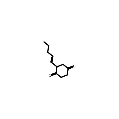 CCCC=CC1CC(=O)CCC1=O